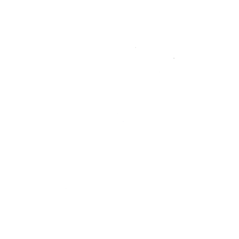 C/C(=C\c1ccc(C(C)C)cc1)c1ccc2c(c1)C(C)(C)CCC2(C)C